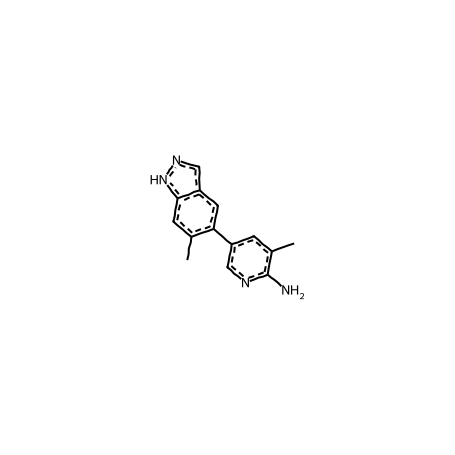 Cc1cc2[nH]ncc2cc1-c1cnc(N)c(C)c1